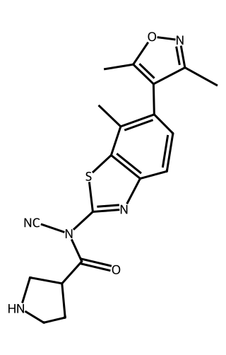 Cc1noc(C)c1-c1ccc2nc(N(C#N)C(=O)C3CCNC3)sc2c1C